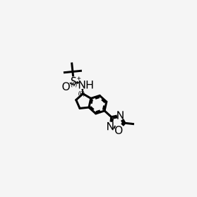 Cc1nc(-c2ccc3c(c2)CC[C@H]3N[S@+]([O-])C(C)(C)C)no1